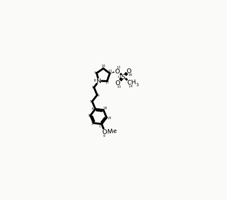 COc1ccc(CCCN2CC[C@H](OS(C)(=O)=O)C2)cc1